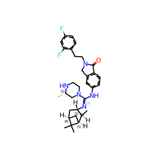 C[C@@H]1[C@@H](/N=C(/Nc2ccc3c(c2)CN(CCc2ccc(F)cc2F)C3=O)N2CCN[C@@H](C)C2)C[C@H]2C[C@@H]1C2(C)C